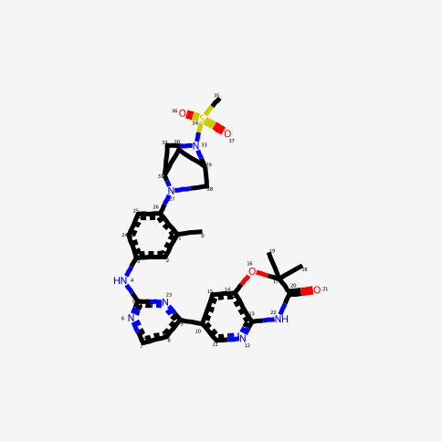 Cc1cc(Nc2nccc(-c3cnc4c(c3)OC(C)(C)C(=O)N4)n2)ccc1N1CC2CC1CN2S(C)(=O)=O